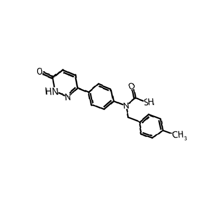 Cc1ccc(CN(C(=O)S)c2ccc(-c3ccc(=O)[nH]n3)cc2)cc1